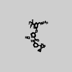 Cl.NCc1cc(Oc2ccnc(C(=O)Nc3cccc(-c4nncn4C4CC4)c3)c2)nc(C(F)(F)F)c1